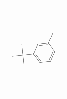 Cc1cccc(C(C)(C)C)c1